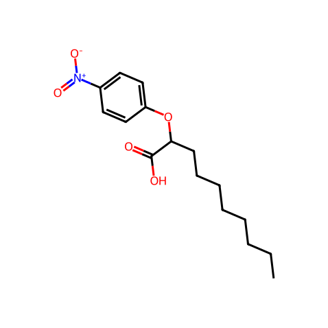 CCCCCCCCC(Oc1ccc([N+](=O)[O-])cc1)C(=O)O